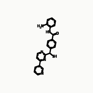 Nc1ccccc1NC(=O)c1ccc(C(S)c2nccc(-c3cccnc3)n2)cc1